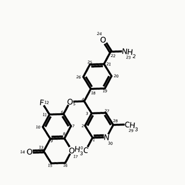 Cc1cc(C(Oc2cc3c(cc2F)C(=O)CCO3)c2ccc(C(N)=O)cc2)cc(C)n1